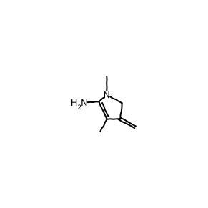 C=C1CN(C)C(N)=C1C